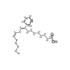 CCCCC/C=C\C/C=C\CCCCCCCC(=O)O.c1ccncc1